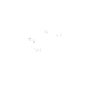 C#C/C=C\C(=N)n1cc(CN2CC(O)C2)c(C)n1